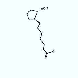 CCCCCCCC[C@H]1CCC[C@@H]1CCCCCCC(=O)Cl